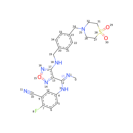 C/N=C(\Nc1ccc(F)c(C#N)c1)c1nonc1NCc1ccc(CN2CCS(=O)(=O)CC2)cc1